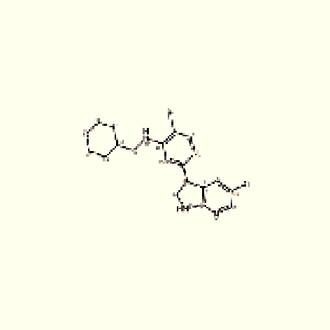 Fc1cnc(C2CNc3ncc(Cl)cc32)nc1NCC1CCOCC1